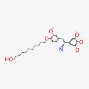 COc1cc(/C=C(\C#N)c2cc(OC)c(OC)c(OC)c2)ccc1OCCCCCCCCCCCO